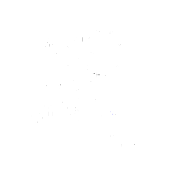 CC1=Cc2c(cccc2N2CCc3ccccc32)C1C1=C2C(=CCC1=[Si](C)C)[CH]([Zr+2])C(C)=C2c1cccc2ccccc12.[Cl-].[Cl-]